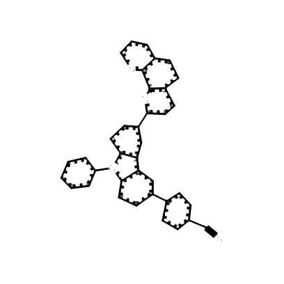 N#Cc1ccc(-c2ccc3c(c2)c2cc(-c4ccc5ccc6cccnc6c5n4)ccc2n3-c2ccccc2)cc1